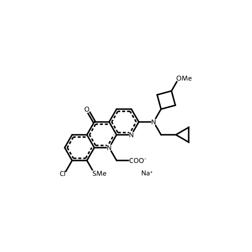 COC1CC(N(CC2CC2)c2ccc3c(=O)c4ccc(Cl)c(SC)c4n(CC(=O)[O-])c3n2)C1.[Na+]